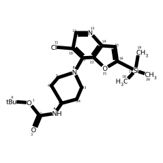 CC(C)(C)OC(=O)NC1CCN(c2c(Cl)cnc3cc([Si](C)(C)C)oc23)CC1